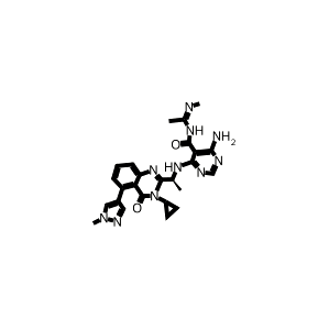 C/N=C(/C)NC(=O)c1c(N)ncnc1N[C@@H](C)c1nc2cccc(-c3cnn(C)c3)c2c(=O)n1C1CC1